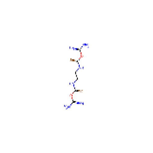 N=C(N)OC(=S)NCCNC(=S)OC(=N)N